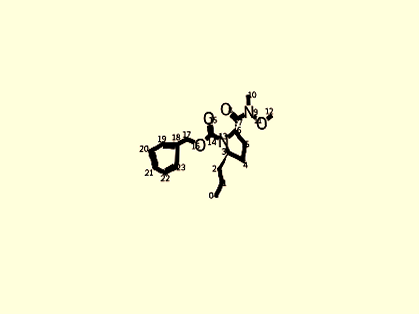 CCC[C@@H]1CC[C@@H](C(=O)N(C)OC)N1C(=O)OCc1ccccc1